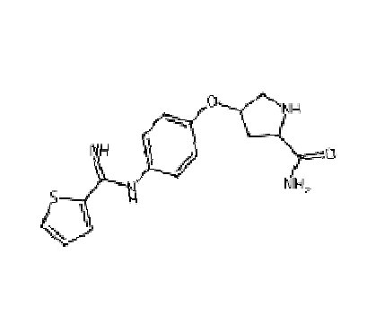 N=C(Nc1ccc(OC2CNC(C(N)=O)C2)cc1)c1cccs1